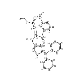 CCCC(=O)Oc1c(OC)ccnc1C(=O)N[C@@H](C)c1nc(C(c2ccccc2)c2ccccc2)no1